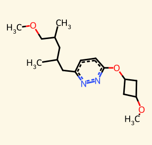 COCC(C)CC(C)Cc1ccc(OC2CC(OC)C2)nn1